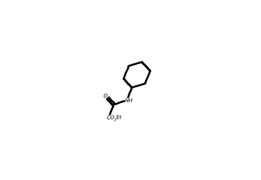 CCOC(=O)C(=O)NC1CCCCC1